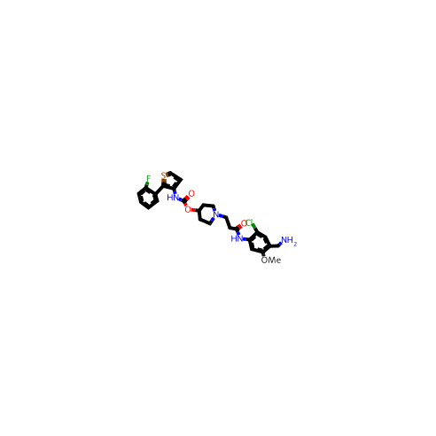 COc1cc(NC(=O)CCN2CCC(OC(=O)Nc3ccsc3-c3ccccc3F)CC2)c(Cl)cc1CN